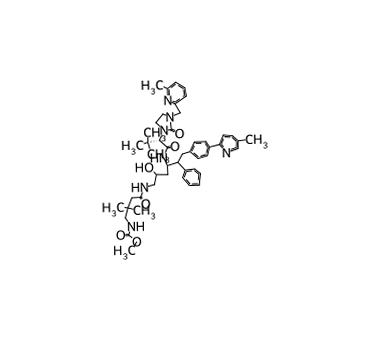 COC(=O)NCC(C)(C)CC(=O)NCC(O)CC(NC(=O)[C@@H](N1CCN(Cc2cccc(C)n2)C1=O)C(C)(C)C)C(Cc1ccc(-c2ccc(C)cn2)cc1)c1ccccc1